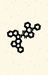 c1ccc(N2c3ccccc3-c3nc(-n4c5ccc6ccccc6c5c5c6cccc7c6c(cc54)-c4ccccc4-7)nc4cccc2c34)cc1